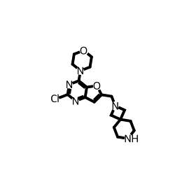 Clc1nc(N2CCOCC2)c2oc(CN3CC4(CCNCC4)C3)cc2n1